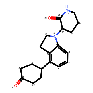 O=C1CCC(c2cccc3c2CCN3C2CCCNC2=O)CC1